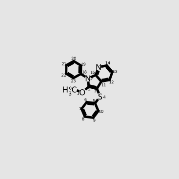 COc1c(Sc2ccccc2)c2cccnc2n1-c1ccccc1